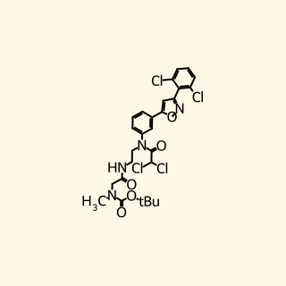 CN(CC(=O)NCCN(C(=O)C(Cl)Cl)c1cccc(-c2cc(-c3c(Cl)cccc3Cl)no2)c1)C(=O)OC(C)(C)C